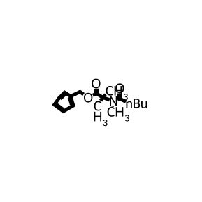 CCCCC(=O)N(C)C(C)(C)C(=O)OCc1ccccc1